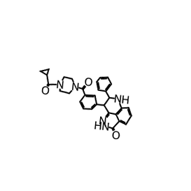 O=C(c1cccc(C2c3n[nH]c(=O)c4cccc(c34)NC2c2ccccc2)c1)N1CCN(C(=O)C2CC2)CC1